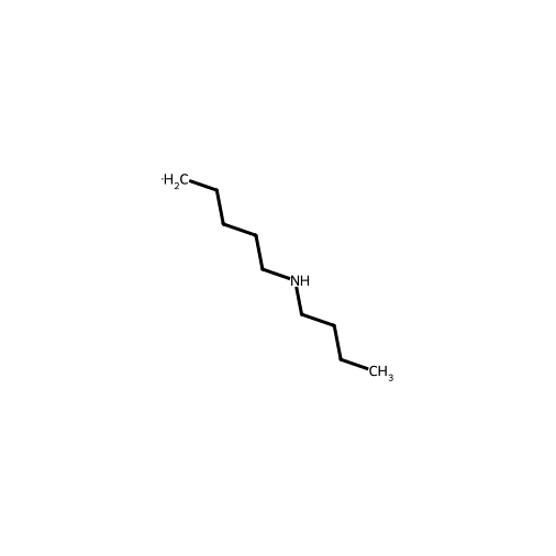 [CH2]CCCCNCCCC